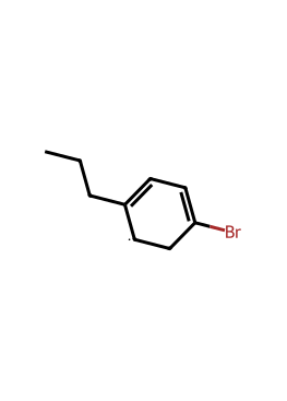 CCCC1=CC=C(Br)C[CH]1